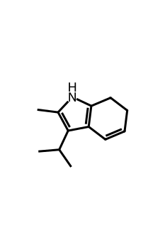 Cc1[nH]c2c(c1C(C)C)C=CCC2